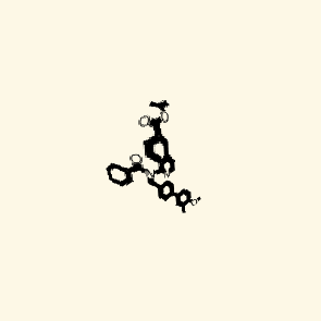 COc1ccc(-c2ccc(CN(C(=O)C3CCCCC3)c3nccc4cc(C(=O)OC(C)C)ccc34)cc2)cc1C